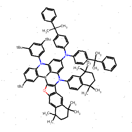 CC(C)(C)c1cc(N2c3ccc(C(C)(C)C)cc3B3c4oc5cc6c(cc5c4N(c4ccc5c(c4)C(C)(C)CCC5(C)C)c4cc(N(c5ccc(C(C)(C)c7ccccc7)cc5)c5ccc(C(C)(C)c7ccccc7)cc5)cc2c43)C(C)(C)CCC6(C)C)cc(C(C)(C)C)c1